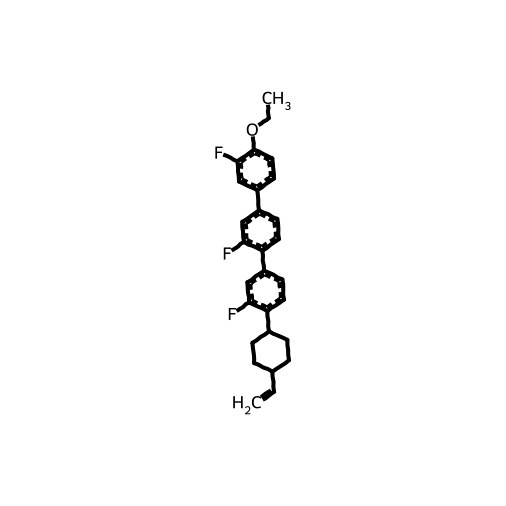 C=CC1CCC(c2ccc(-c3ccc(-c4ccc(OCC)c(F)c4)cc3F)cc2F)CC1